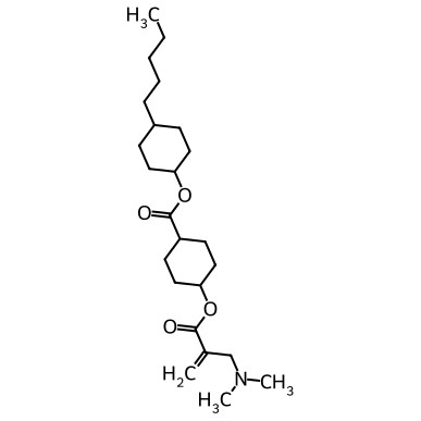 C=C(CN(C)C)C(=O)OC1CCC(C(=O)OC2CCC(CCCCC)CC2)CC1